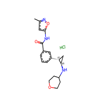 Cc1cc(NC(=O)c2cccc([C@@H]3C[C@H]3NC3CCOCC3)c2)on1.Cl